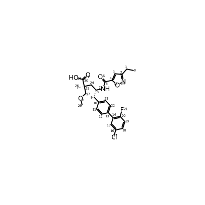 CCc1cc(C(=O)N[C@H](Cc2ccc(-c3cc(Cl)ccc3F)cc2)C[C@@](C)(COC)C(=O)O)on1